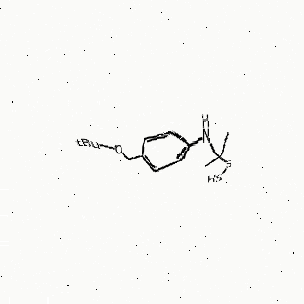 CC(C)(C)OCc1ccc(NC(C)(C)SS)cc1